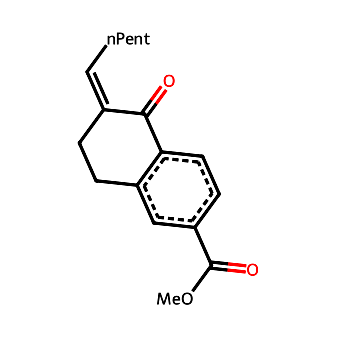 CCCCCC=C1CCc2cc(C(=O)OC)ccc2C1=O